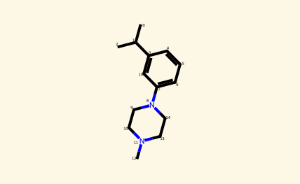 CC(C)c1c[c]cc(N2CCN(C)CC2)c1